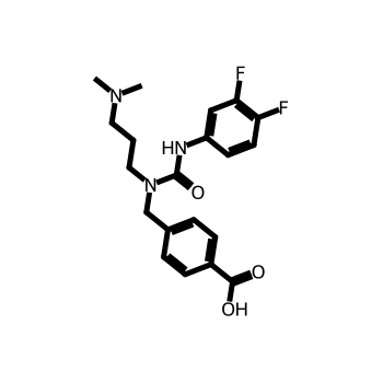 CN(C)CCCN(Cc1ccc(C(=O)O)cc1)C(=O)Nc1ccc(F)c(F)c1